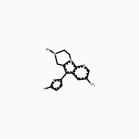 CC(C)N1CCn2c(c(-c3ccc(F)s3)c3cc(C(F)(F)F)cnc32)C1